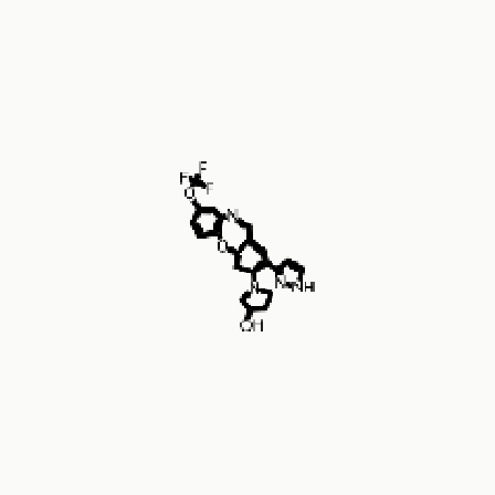 OC1CCN(c2cc3c(cc2-c2cc[nH]n2)C=Nc2cc(OC(F)(F)F)ccc2O3)C1